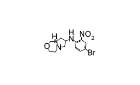 O=[N+]([O-])c1cc(Br)ccc1NC1C[C@@H]2COCCN2C1